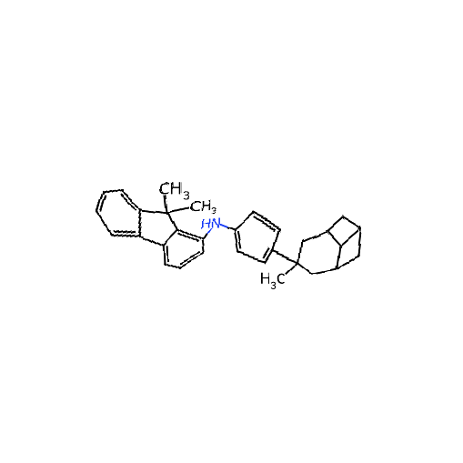 CC1(c2ccc(Nc3cccc4c3C(C)(C)c3ccccc3-4)cc2)CC2CC3CC(C1)C32